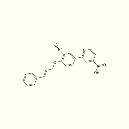 [C-]#[N+]c1cc(-c2cc(C(=O)O)ccn2)ccc1OCC=Cc1ccccc1